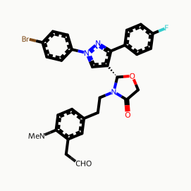 CNc1ccc(CCN2C(=O)CO[C@H]2c2cn(-c3ccc(Br)cc3)nc2-c2ccc(F)cc2)cc1CC=O